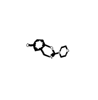 Clc1ccc2c(c1)CN=C(N1CCOCC1)O2